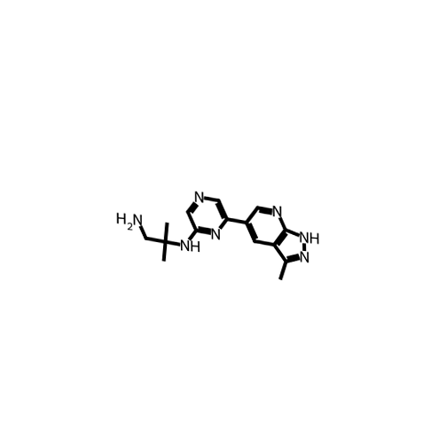 Cc1n[nH]c2ncc(-c3cncc(NC(C)(C)CN)n3)cc12